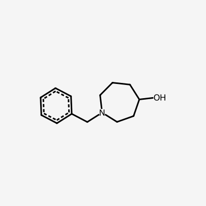 OC1CCCN(Cc2ccccc2)CC1